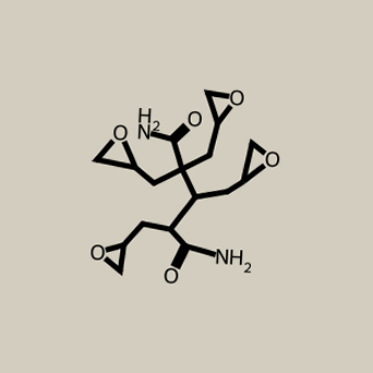 NC(=O)C(CC1CO1)C(CC1CO1)C(CC1CO1)(CC1CO1)C(N)=O